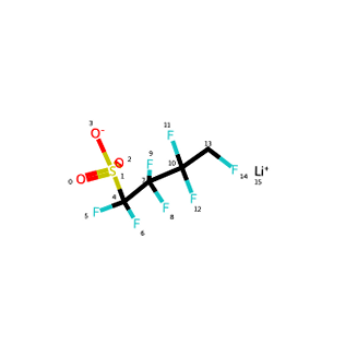 O=S(=O)([O-])C(F)(F)C(F)(F)C(F)(F)CF.[Li+]